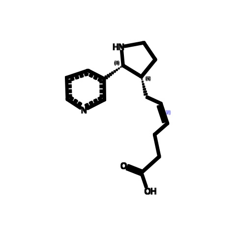 O=C(O)CC/C=C\C[C@H]1CCN[C@H]1c1cccnc1